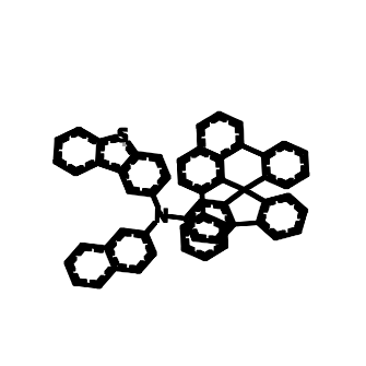 c1ccc(-c2ccc3cccc4c3c2C2(c3ccccc3-c3ccc(N(c5ccc6ccccc6c5)c5ccc6sc7ccccc7c6c5)cc32)c2ccccc2-4)cc1